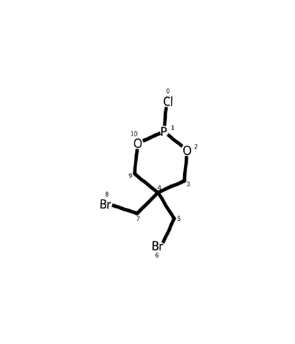 ClP1OCC(CBr)(CBr)CO1